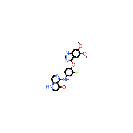 COc1cc2ncnc(Oc3ccc(Nc4nccc5[nH]ccc(=O)c45)cc3F)c2cc1OC